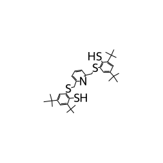 CC(C)(C)c1cc(SCc2cccc(CSc3cc(C(C)(C)C)cc(C(C)(C)C)c3S)n2)c(S)c(C(C)(C)C)c1